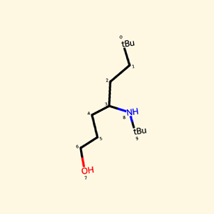 CC(C)(C)CCC(CCCO)NC(C)(C)C